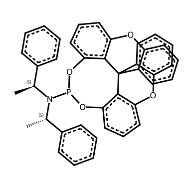 C[C@@H](c1ccccc1)N([C@@H](C)c1ccccc1)P1Oc2cccc3c2C2(c4ccccc4O3)c3ccccc3Oc3cccc(c32)O1